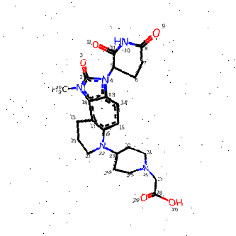 Cn1c(=O)n(C2CCC(=O)NC2=O)c2ccc3c(c21)CCCN3C1CCN(CC(=O)O)CC1